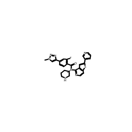 Cn1cc(-c2ccc(C(=O)N(c3nccc4sc(-c5cccnc5)cc34)[C@@H]3CCCNC3)c(F)c2)nn1